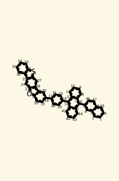 c1ccc2cc(-c3c4ccccc4c(-c4ccc(-c5ccc6oc7cc8c(cc7c6c5)sc5ccccc58)cc4)c4ccccc34)ccc2c1